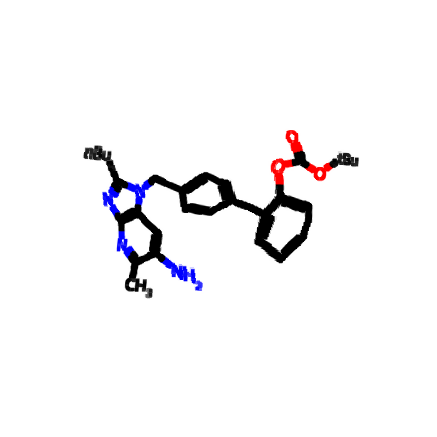 CCCCc1nc2nc(C)c(N)cc2n1Cc1ccc(-c2ccccc2OC(=O)OC(C)(C)C)cc1